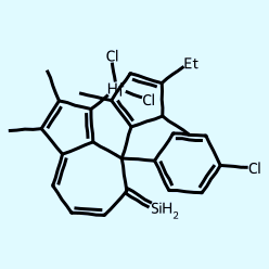 CCC1=CC(C)=C(C2(c3ccc(Cl)cc3)C(=[SiH2])C=CC=C3C(C)=C(C)[C]([Hf]([Cl])[Cl])=C32)C1C